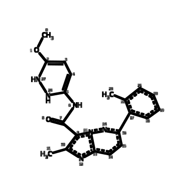 COC1=CC=C(NC(=O)c2c(C)nc3ccc(-c4ccccc4C)nn23)NN1